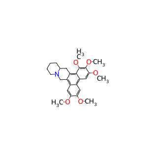 COc1cc2c3c(c4c(OC)c(OC)c(OC)cc4c2cc1OC)CC1CCCCN1C3